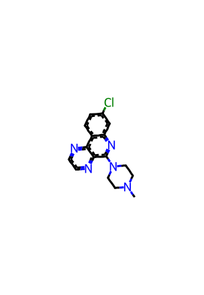 CN1CCN(c2nc3cc(Cl)ccc3c3nccnc23)CC1